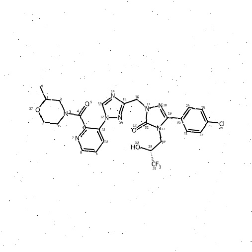 CC1CN(C(=O)c2ncccc2-n2cnc(Cn3nc(-c4ccc(Cl)cc4)n(C[C@@H](O)C(F)(F)F)c3=O)n2)CCO1